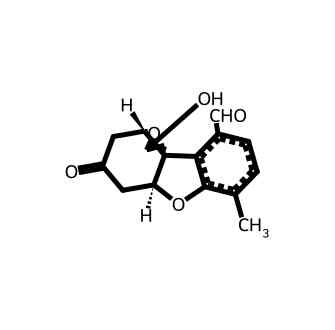 Cc1ccc(C=O)c2c1O[C@H]1CC(=O)C[C@@H]3OC(O)C[C@]213